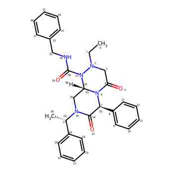 CCN1CC(=O)N2[C@@H](c3ccccc3)C(=O)N([C@@H](C)c3ccccc3)C[C@@H]2N1C(=O)NCc1ccccc1